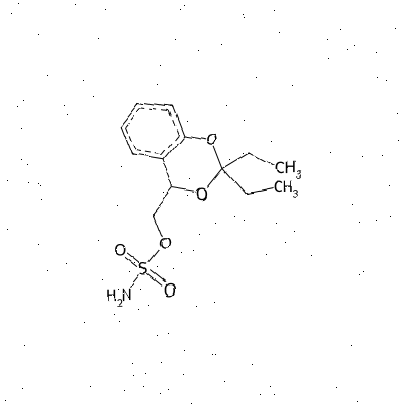 CCC1(CC)Oc2ccccc2C(COS(N)(=O)=O)O1